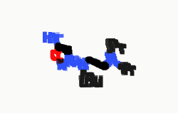 CC(C)N(CCN([n+]1cc([NH-])on1)C(C)(C)C)C(C)C